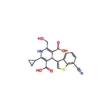 N#Cc1cccc2c(C3C(C(=O)O)=C(CO)NC(C4CC4)=C3C(=O)O)csc12